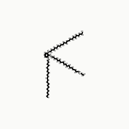 CCCCCCCCCCCCCCCCCCCCCCSc1c[c]cc(SCCCCCCCCCCCCCCCCCCCCCC)c1SCCCCCCCCCCCCCCCCCCCCCC